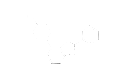 CN1CCN(c2cccc3[nH]c(-c4cccnc4)cc23)CC1